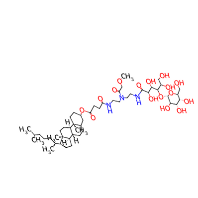 COCC(=O)N(CCNC(=O)CCC(=O)OC1CC[C@]2(C)C(=CC[C@@H]3[C@H]4CC[C@@H]([C@@H](C)CCCC(C)C)[C@]4(C)CC[C@H]32)C1)CCNC(=O)C(O)C(O)C(O[C@@H]1OC(CO)[C@H](O)[C@H](O)C1O)C(O)CO